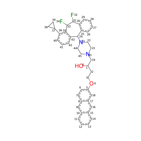 OC(CCOc1ccc2cc3ccccc3cc2c1)CN1CCN(C2c3ccccc3C(F)C(F)c3c(C4CC4)cccc32)CC1